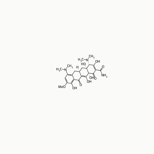 COc1cc(N(C)C)c2c(c1O)C(=O)C1=C(O)[C@]3(O)C(=O)C(C(N)=O)=C(O)[C@@H](N(C)C)[C@]3(O)C[C@@H]1C2